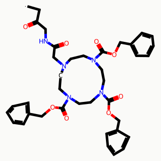 [CH2]CC(=O)CNC(=O)CN1CCN(C(=O)OCc2ccccc2)CCN(C(=O)OCc2ccccc2)CCN(C(=O)OCc2ccccc2)CC1